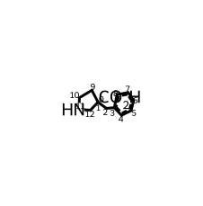 O=C(O)C1(Cc2ccccc2)CCNC1